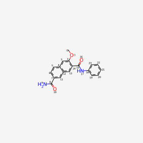 COc1cc2ccc(C(N)=O)cc2cc1C(=O)Nc1ccccc1